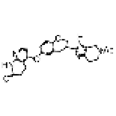 CC(=O)N1CCc2nc(C3COc4ccc(Oc5ccnc6c5CCC(=O)N6)cc4C3)[nH]c2C1